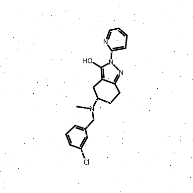 CN(Cc1cccc(Cl)c1)C1CCc2nn(-c3ccccn3)c(O)c2C1